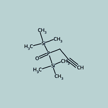 C#CCP(=O)([Si](C)(C)C)[Si](C)(C)C